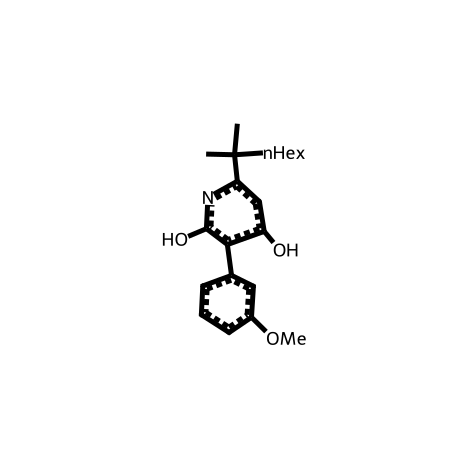 CCCCCCC(C)(C)c1cc(O)c(-c2cccc(OC)c2)c(O)n1